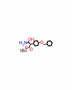 CC(C)(C)OC(=O)C(c1ccc(OCc2ccccc2)cc1)[C@H](N)O